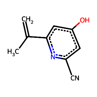 C=C(C)c1cc(O)cc(C#N)n1